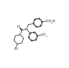 CCN1CCN(C(=O)N(Cc2ccc(C(=O)O)cc2)c2cccc(C(F)(F)F)c2)CC1